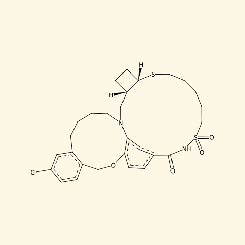 O=C1NS(=O)(=O)CCCCCS[C@H]2CC[C@H]2CN2CCCCc3cc(Cl)ccc3COc3ccc1cc32